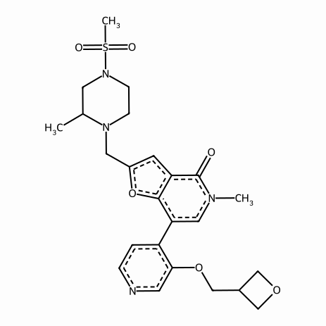 CC1CN(S(C)(=O)=O)CCN1Cc1cc2c(=O)n(C)cc(-c3ccncc3OCC3COC3)c2o1